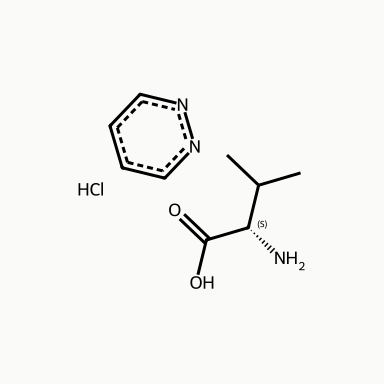 CC(C)[C@H](N)C(=O)O.Cl.c1ccnnc1